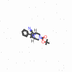 CC(C)(C)OC(=O)N1C[C@H]2C=C(C#N)[C@@H](C1)N2C(C)(C)c1ccccc1